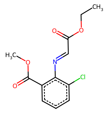 CCOC(=O)C=Nc1c(Cl)cccc1C(=O)OC